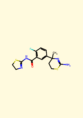 CC1(c2ccc(F)c(C(=O)NC3=NCCS3)c2)CCSC(N)=N1